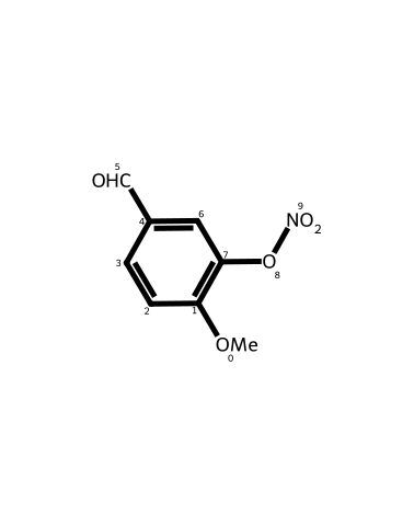 COc1ccc(C=O)cc1O[N+](=O)[O-]